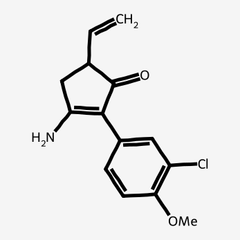 C=CC1CC(N)=C(c2ccc(OC)c(Cl)c2)C1=O